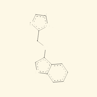 [c]1oc2ccccc2c1OCc1ncco1